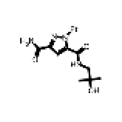 CCn1nc(C(N)=O)[c]c1C(=O)NCC(C)(C)O